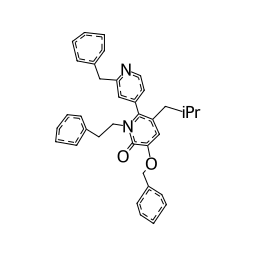 CC(C)Cc1cc(OCc2ccccc2)c(=O)n(CCc2ccccc2)c1-c1ccnc(Cc2ccccc2)c1